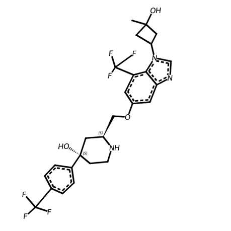 CC1(O)CC(n2cnc3cc(OC[C@@H]4C[C@](O)(c5ccc(C(F)(F)F)cc5)CCN4)cc(C(F)(F)F)c32)C1